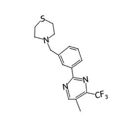 Cc1cnc(-c2cccc(CN3CCSCC3)c2)nc1C(F)(F)F